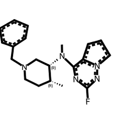 C[C@@H]1CCN(Cc2ccccc2)C[C@@H]1N(C)c1nc(F)nn2cccc12